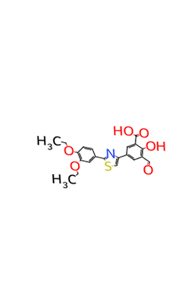 CCOc1ccc(-c2nc(-c3cc(C=O)c(O)c(C(=O)O)c3)cs2)cc1OCC